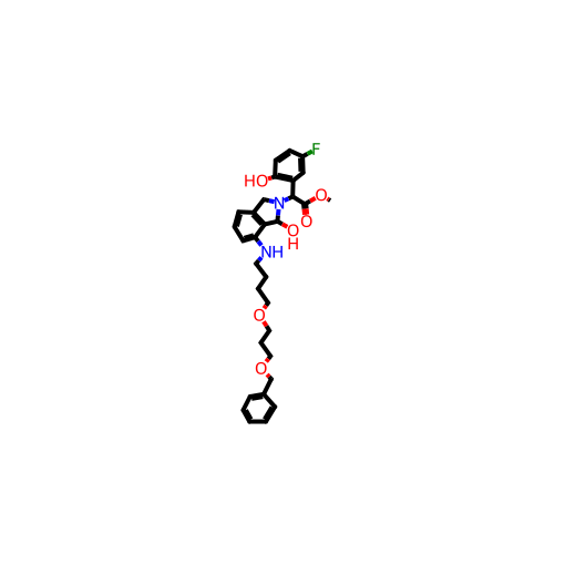 COC(=O)C(c1cc(F)ccc1O)N1Cc2cccc(NCCCCOCCCOCc3ccccc3)c2C1O